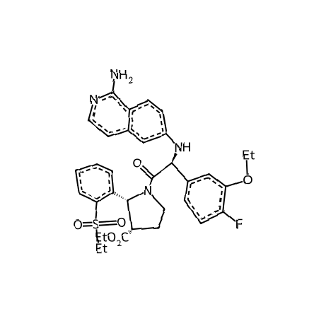 CCOC(=O)[C@H]1CCN(C(=O)[C@@H](Nc2ccc3c(N)nccc3c2)c2ccc(F)c(OCC)c2)[C@H]1c1ccccc1S(=O)(=O)CC